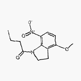 CCCC(=O)N1CCc2c(OC)ccc([N+](=O)[O-])c21